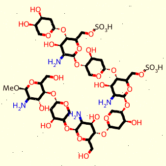 CO[C@H]1OC(CO)[C@@H](O[C@H]2C[C@H](O)C(O[C@@H]3OC(CO)[C@@H](O[C@H]4C[C@H](O)[C@H](O[C@@H]5OC(COS(=O)(=O)O)[C@@H](O[C@H]6C[C@H](O)[C@@H](O[C@@H]7OC(COS(=O)(=O)O)[C@@H](O[C@H]8C[C@H](O)[C@H](O)CO8)[C@H](O)C7N)CO6)[C@H](O)C5N)CO4)[C@H](O)C3N)CO2)[C@H](O)C1N